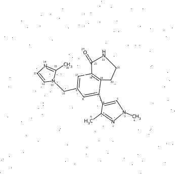 Cc1nn(C)cc1-c1cc(Cn2ccnc2C)cc2c1CCNC2=O